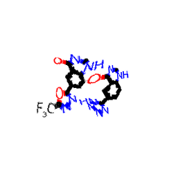 O=c1nc[nH]c2ccc(-c3nnc(C(F)(F)F)o3)cc12.O=c1nc[nH]c2ccc(-c3nnn[nH]3)cc12